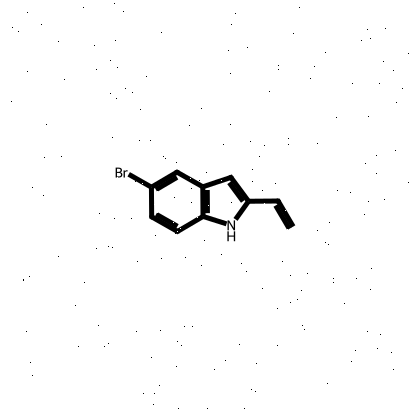 C=Cc1cc2cc(Br)ccc2[nH]1